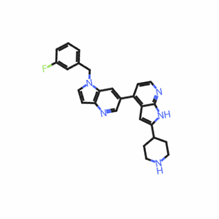 Fc1cccc(Cn2ccc3ncc(-c4ccnc5[nH]c(C6CCNCC6)cc45)cc32)c1